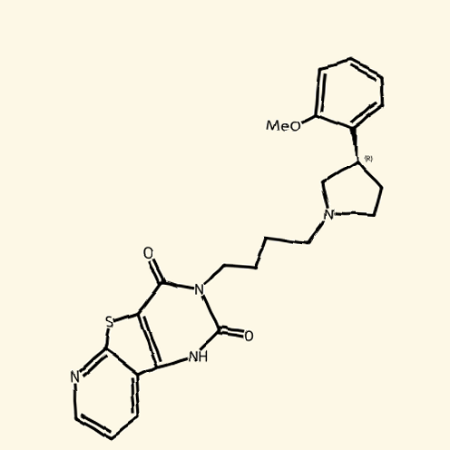 COc1ccccc1[C@H]1CCN(CCCCn2c(=O)[nH]c3c(sc4ncccc43)c2=O)C1